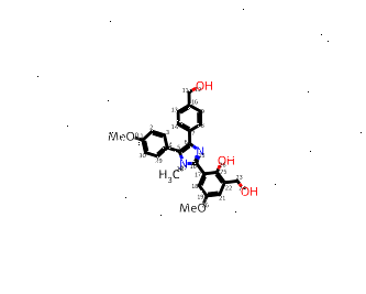 COc1ccc(-c2c(-c3ccc(CO)cc3)nc(-c3cc(OC)cc(CO)c3O)n2C)cc1